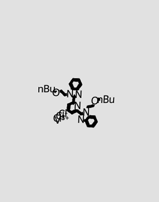 CCCCOCCn1c(-c2cccc(-c3nc4ccccc4n3CCOCCCC)n2)nc2ccccc21.[Cl-].[Cl-].[Cl-].[V+3]